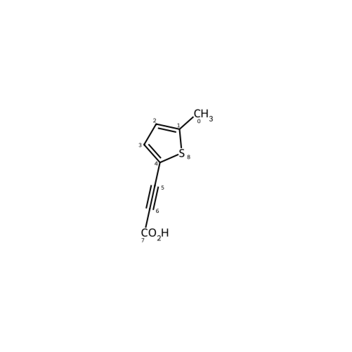 Cc1ccc(C#CC(=O)O)s1